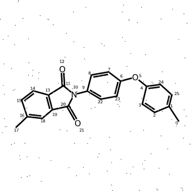 Cc1ccc(Oc2ccc(N3C(=O)c4ccc(C)cc4C3=O)cc2)cc1